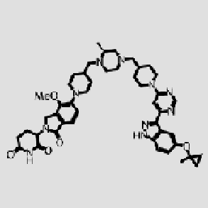 COc1c(N2CCC(CN3CCN(CC4CCN(c5cc(-c6n[nH]c7ccc(OC8(C)CC8)cc67)ncn5)CC4)C[C@@H]3C)CC2)ccc2c1CN(C1CCC(=O)NC1=O)C2=O